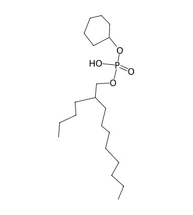 CCCCCCCCC(CCCC)COP(=O)(O)OC1CCCCC1